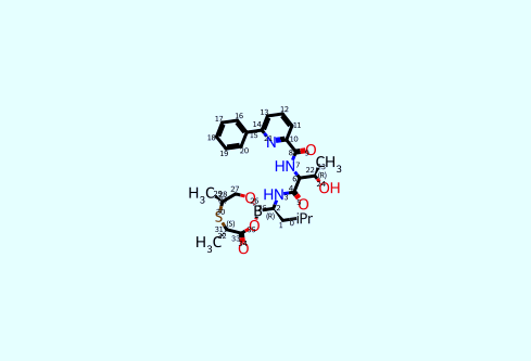 CC(C)C[C@H](NC(=O)C(NC(=O)c1cccc(-c2ccccc2)n1)[C@@H](C)O)B1OC[C@H](C)S[C@@H](C)C(=O)O1